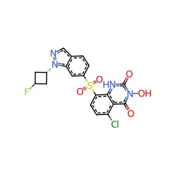 O=c1[nH]c2c(S(=O)(=O)c3ccc4cnn([C@H]5C[C@H](F)C5)c4c3)ccc(Cl)c2c(=O)n1O